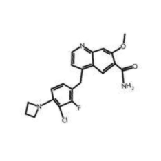 COc1cc2nccc(Cc3ccc(N4CCC4)c(Cl)c3F)c2cc1C(N)=O